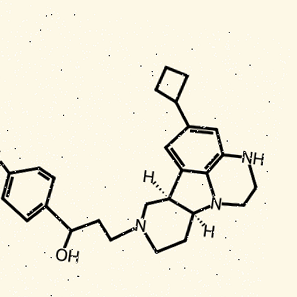 OC(CCN1CC[C@H]2[C@@H](C1)c1cc(C3CCC3)cc3c1N2CCN3)c1ccc(F)cc1